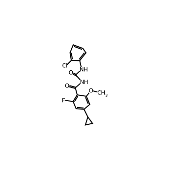 COc1cc(C2CC2)cc(F)c1C(=O)NC(=O)Nc1ccccc1Cl